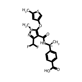 Cc1cc(Oc2c(C(=O)N[C@@H](C)c3ccc(C(=O)O)cc3)c(C(F)F)nn2C)cs1